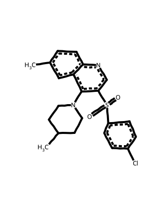 Cc1ccc2ncc(S(=O)(=O)c3ccc(Cl)cc3)c(N3CCC(C)CC3)c2c1